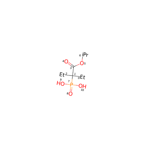 CCC(CC)(C(=O)OC(C)C)P(=O)(O)O